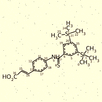 C[Si](C)(C)c1cc(C(=S)Nc2ccc(C=CC(=O)O)cc2)cc([Si](C)(C)C)c1